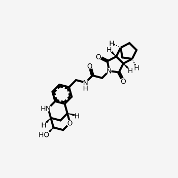 O=C(CN1C(=O)[C@@H]2[C@H]3CC[C@H](C3)[C@@H]2C1=O)NCc1ccc2c(c1)[C@H]1C[C@@H](N2)[C@H](O)CO1